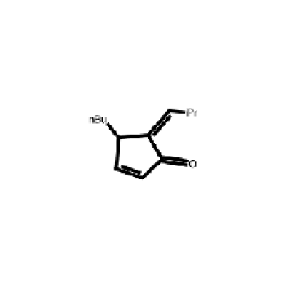 CCCCC1C=CC(=O)C1=CC(C)C